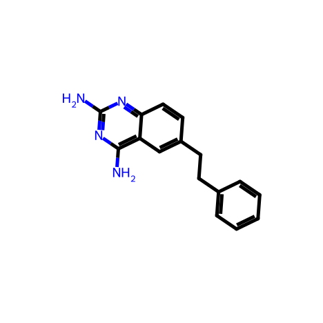 Nc1nc(N)c2cc(CCc3ccccc3)ccc2n1